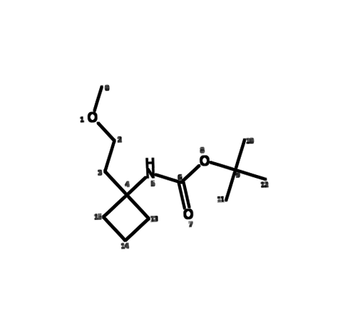 COCCC1(NC(=O)OC(C)(C)C)CCC1